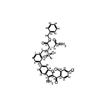 CS(=O)(=O)N(Cc1cccc(-c2ccc3c(N)c(C(=O)c4ccc(Cl)cc4Cl)oc3c2)c1)[C@@H](CC(N)=O)C(=O)OCc1ccccc1